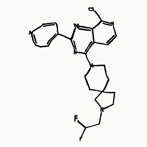 FC(F)CN1CCC2(CCN(c3nc(-c4ccncc4)nc4c(Cl)nccc34)CC2)C1